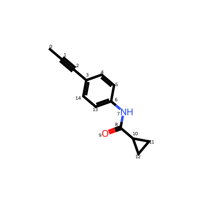 CC#Cc1ccc(NC(=O)C2CC2)cc1